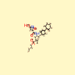 CCCCOC(=O)C1(C[C@H](Cc2ccc(-c3ccccc3)cc2)NC(=O)c2cc(O)no2)CC1